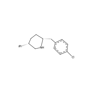 CC(C)[C@@H]1CC[C@H](Cc2ccc(Cl)cc2)NC1